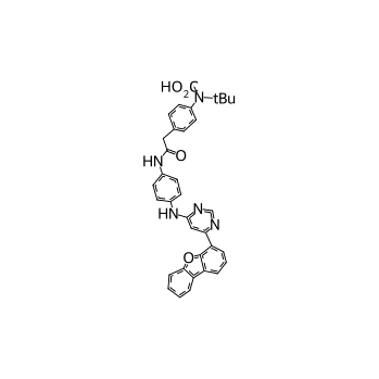 CC(C)(C)N(C(=O)O)c1ccc(CC(=O)Nc2ccc(Nc3cc(-c4cccc5c4oc4ccccc45)ncn3)cc2)cc1